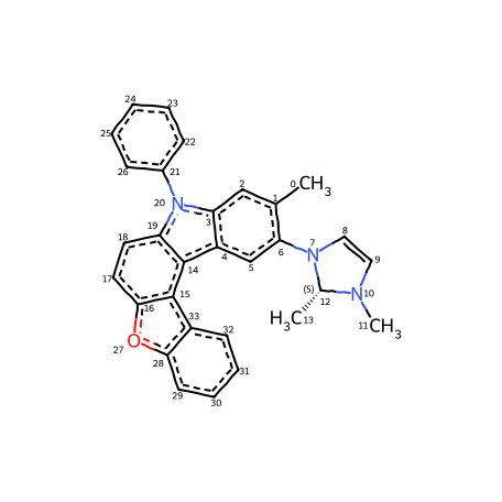 Cc1cc2c(cc1N1C=CN(C)[C@@H]1C)c1c3c(ccc1n2-c1ccccc1)oc1ccccc13